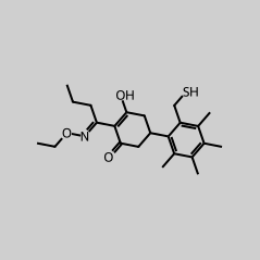 CCCC(=NOCC)C1=C(O)CC(c2c(C)c(C)c(C)c(C)c2CS)CC1=O